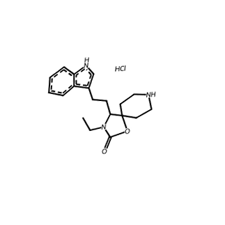 CCN1C(=O)OC2(CCNCC2)C1CCc1c[nH]c2ccccc12.Cl